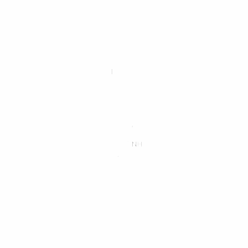 CCc1ccc(NC=S)cc1